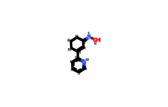 ON=C1C=C(c2ccccn2)CCC1